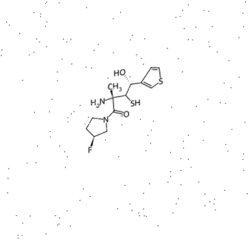 C[C@](N)(C(=O)N1CC[C@H](F)C1)C(S)[C@H](O)c1ccsc1